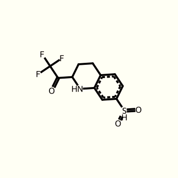 O=C(C1CCc2ccc([SH](=O)=O)cc2N1)C(F)(F)F